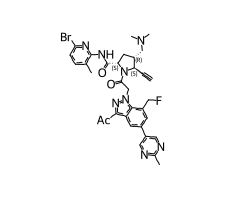 C#C[C@@H]1[C@@H](CN(C)C)C[C@@H](C(=O)Nc2nc(Br)ccc2C)N1C(=O)Cn1nc(C(C)=O)c2cc(-c3cnc(C)nc3)cc(CF)c21